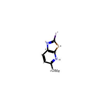 COc1ccc2nc(I)sc2n1